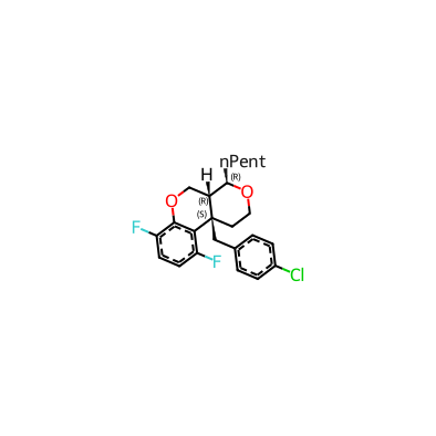 CCCCC[C@H]1OCC[C@]2(Cc3ccc(Cl)cc3)c3c(F)ccc(F)c3OC[C@H]12